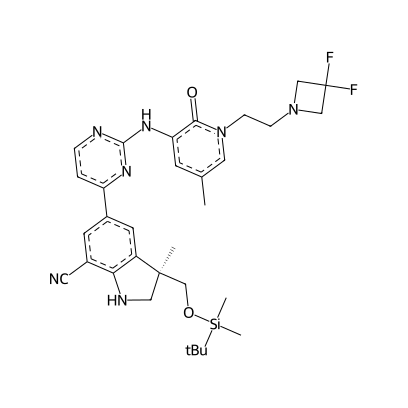 Cc1cc(Nc2nccc(-c3cc(C#N)c4c(c3)[C@@](C)(CO[Si](C)(C)C(C)(C)C)CN4)n2)c(=O)n(CCN2CC(F)(F)C2)c1